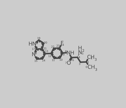 CC(C)C[C@@H](N)C(=O)Nc1ccc(-c2ccnc3[nH]ccc23)cc1F